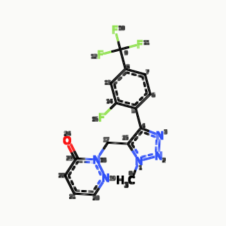 Cn1nnc(-c2ccc(C(F)(F)F)cc2F)c1Cn1ncccc1=O